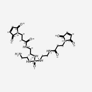 NCCNP(=O)(NCCNC(=O)CCN1C(=O)C=CC1=O)NCCNC(=O)CCN1C(=O)C=CC1=O